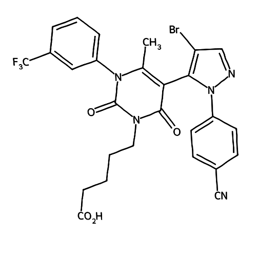 Cc1c(-c2c(Br)cnn2-c2ccc(C#N)cc2)c(=O)n(CCCCC(=O)O)c(=O)n1-c1cccc(C(F)(F)F)c1